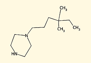 CCC(C)(C)CCCN1CCNCC1